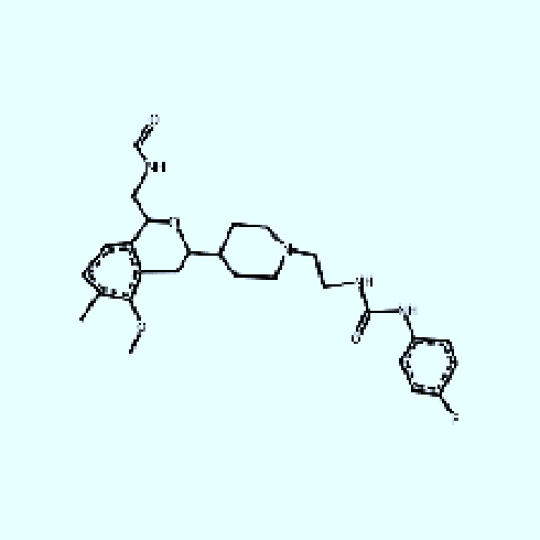 COc1c(C)ccc2c1CC(C1CCN(CCNC(=O)Nc3ccc(F)cc3)CC1)OC2CNC=O